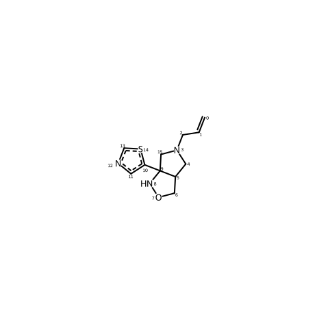 C=CCN1CC2CONC2(c2cncs2)C1